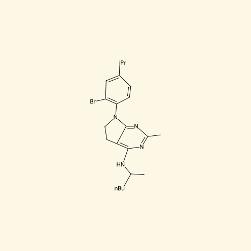 CCCCC(C)Nc1nc(C)nc2c1CCN2c1ccc(C(C)C)cc1Br